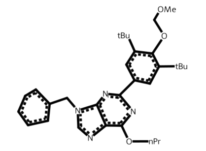 CCCOc1nc(-c2cc(C(C)(C)C)c(OCOC)c(C(C)(C)C)c2)nc2c1ncn2Cc1ccccc1